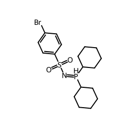 O=S(=O)(N=[PH](C1CCCCC1)C1CCCCC1)c1ccc(Br)cc1